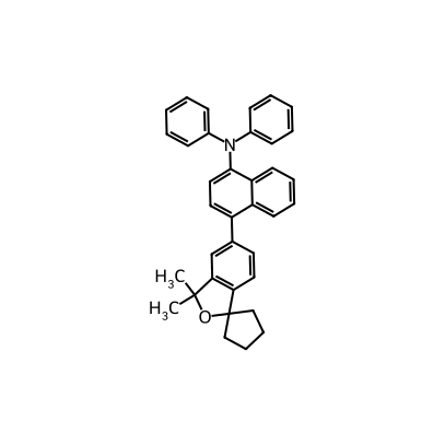 CC1(C)OC2(CCCC2)c2ccc(-c3ccc(N(c4ccccc4)c4ccccc4)c4ccccc34)cc21